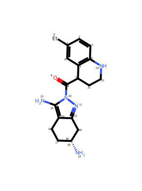 CCc1ccc2c(c1)C(C(=O)n1nc3c(c1N)CC[C@@H](N)C3)CCN2